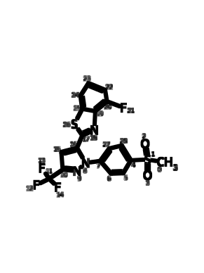 CS(=O)(=O)c1ccc(-n2nc(C(F)(F)F)cc2-c2nc3c(F)cccc3s2)cc1